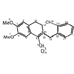 COc1cc2c(cc1OC)C(C)=[N+](Cc1ccccc1Cl)CC2.[Cl-]